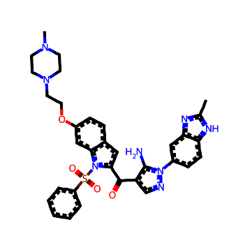 Cc1nc2cc(-n3ncc(C(=O)c4cc5ccc(OCCN6CCN(C)CC6)cc5n4S(=O)(=O)c4ccccc4)c3N)ccc2[nH]1